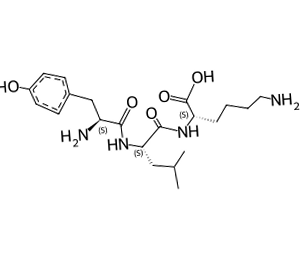 CC(C)C[C@H](NC(=O)[C@@H](N)Cc1ccc(O)cc1)C(=O)N[C@@H](CCCCN)C(=O)O